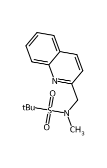 CN(Cc1ccc2ccccc2n1)S(=O)(=O)C(C)(C)C